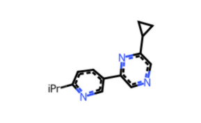 CC(C)c1ccc(-c2cncc(C3CC3)n2)cn1